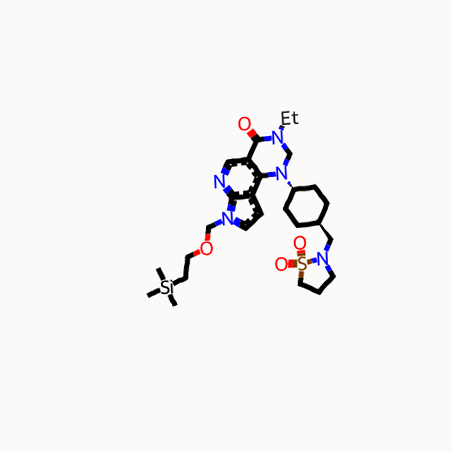 CCN1CN([C@H]2CC[C@H](CN3CCCS3(=O)=O)CC2)c2c(cnc3c2ccn3COCC[Si](C)(C)C)C1=O